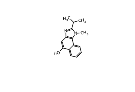 CC(C)c1nc2cc(O)c3ccccc3c2n1C